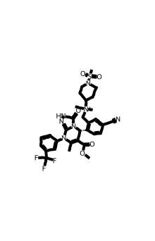 COC(=O)C1=C(C)N(c2cccc(C(F)(F)F)c2)c2n[nH]c(=O)n2[C@@H]1c1ccc(C#N)cc1C[N+](C)(C)C1CCN(S(C)(=O)=O)CC1